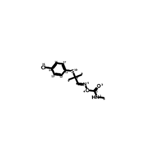 CNC(=O)O/N=C/C(C)(C)Sc1ccc(Cl)cc1